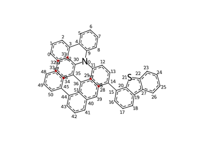 c1ccc(-c2ccccc2N(c2ccc(-c3cccc4c3sc3ccccc34)cc2)c2ccccc2-c2cccc3cccc(-c4ccccc4)c23)cc1